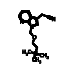 C[Si](C)(C)CCOCn1cc(CC#N)c2cccnc21